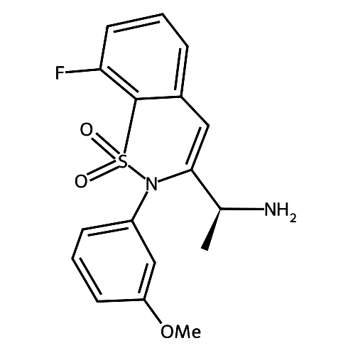 COc1cccc(N2C([C@H](C)N)=Cc3cccc(F)c3S2(=O)=O)c1